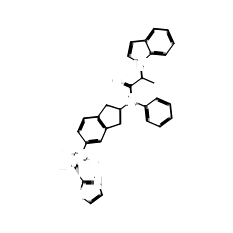 CC(C(=O)N(c1ccccc1)C1Cc2ccc(S(=O)(=O)Nc3nccs3)cc2C1)n1ccc2ccccc21